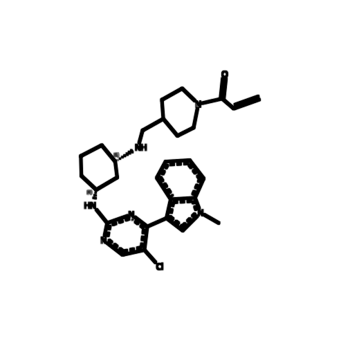 C=CC(=O)N1CCC(CN[C@H]2CCC[C@@H](Nc3ncc(Cl)c(-c4cn(C)c5ccccc45)n3)C2)CC1